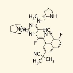 C#Cc1c(F)ccc2cc(C(C)(C)C#N)cc(-c3ncc4c(N(C)C[C@@H]5CCCN5)nc(N5CC6CCC(C5)N6C)nc4c3F)c12